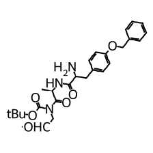 C[C@@H](NC(=O)[C@@H](N)Cc1ccc(OCc2ccccc2)cc1)C(=O)N(C[C]=O)C(=O)OC(C)(C)C